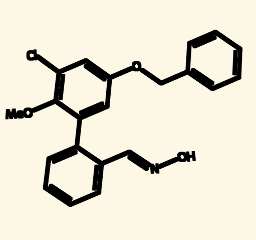 COc1c(Cl)cc(OCc2ccccc2)cc1-c1ccccc1C=NO